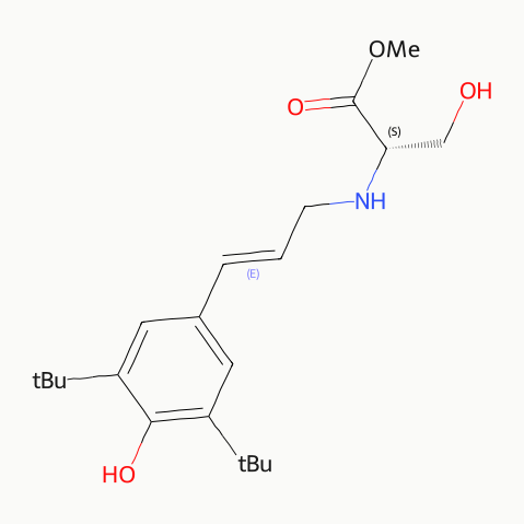 COC(=O)[C@H](CO)NC/C=C/c1cc(C(C)(C)C)c(O)c(C(C)(C)C)c1